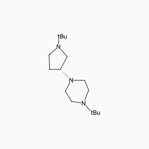 CC(C)(C)N1CCN([C@@H]2CCN(C(C)(C)C)C2)CC1